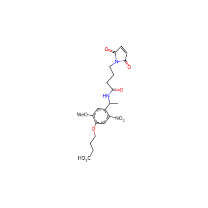 COc1cc(C(C)NC(=O)CCCN2C(=O)C=CC2=O)c([N+](=O)[O-])cc1OCCCC(=O)O